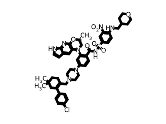 C[C@@H]1CN(c2cc(N3CCN(CC4=C(c5ccc(Cl)cc5)CC(C)(C)CC4)CC3)ccc2C(=O)NS(=O)(=O)c2ccc(NCC3CCOCC3)c([N+](=O)[O-])c2)c2cc3cc[nH]c3nc2O1